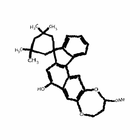 COC1CCOc2cc3c(O)cc4c(c3cc2O1)-c1ccccc1C41CC(C)(C)CC(C)(C)C1